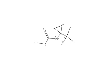 O=C(CI)NC1(C(F)(F)F)CC1